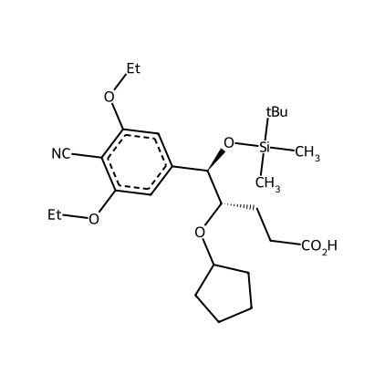 CCOc1cc([C@@H](O[Si](C)(C)C(C)(C)C)[C@H](CCC(=O)O)OC2CCCC2)cc(OCC)c1C#N